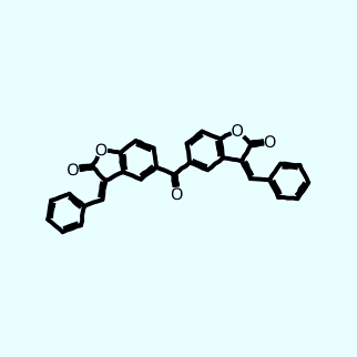 O=C1Oc2ccc(C(=O)c3ccc4c(c3)C(=Cc3ccccc3)C(=O)O4)cc2C1=Cc1ccccc1